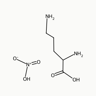 NCCCC(N)C(=O)O.O=[N+]([O-])O